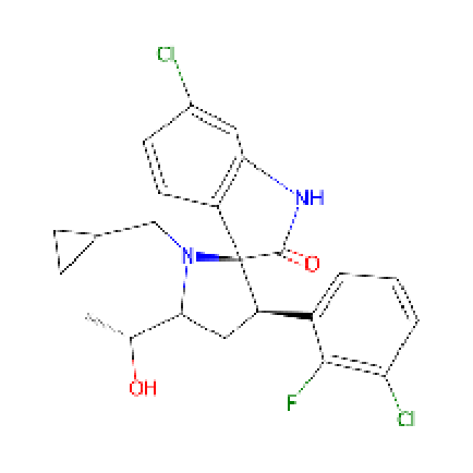 C[C@@H](O)C1C[C@H](c2cccc(Cl)c2F)[C@]2(C(=O)Nc3cc(Cl)ccc32)N1CC1CC1